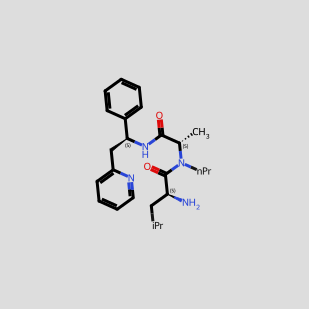 CCCN(C(=O)[C@@H](N)CC(C)C)[C@@H](C)C(=O)N[C@@H](Cc1ccccn1)c1ccccc1